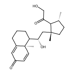 C[C@@H]1CC[C@](C)(C[C@H](O)C2CCCC3=CC(=O)C=C[C@@]32C)C1C(=O)CO